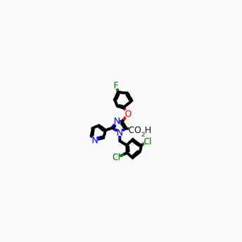 O=C(O)c1c(Oc2ccc(F)cc2)nc(-c2cccnc2)n1Cc1cc(Cl)ccc1Cl